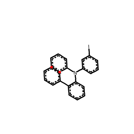 Ic1cccc(N(c2ccccn2)c2ccccc2-c2ccccc2)c1